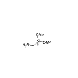 CO[SiH](CN)OC